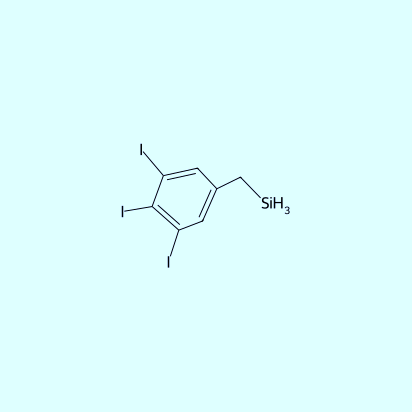 [SiH3]Cc1cc(I)c(I)c(I)c1